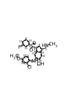 CNCc1cn(S(=O)(=O)c2cccc(F)c2)c2cc(Nc3ccc(OC)nc3Cl)ccc12.Cl